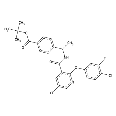 C[C@H](NC(=O)c1cc(Cl)cnc1Oc1ccc(Cl)c(F)c1)c1ccc(C(=O)OC(C)(C)C)cc1